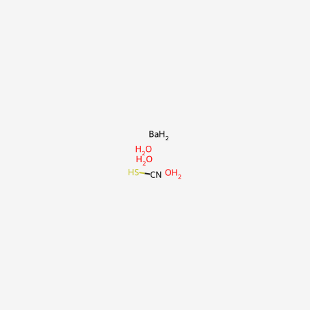 N#CS.O.O.O.[BaH2]